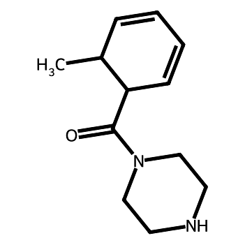 CC1C=CC=CC1C(=O)N1CCNCC1